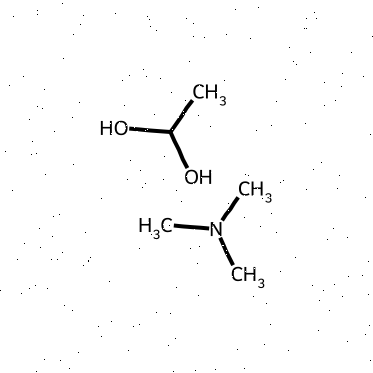 CC(O)O.CN(C)C